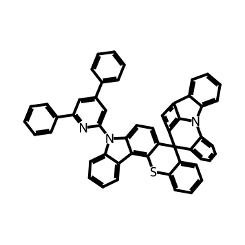 c1ccc(-c2cc(-c3ccccc3)nc(-n3c4ccccc4c4c5c(ccc43)C3(c4ccccc4S5)c4ccccc4-n4c5ccccc5c5cccc3c54)c2)cc1